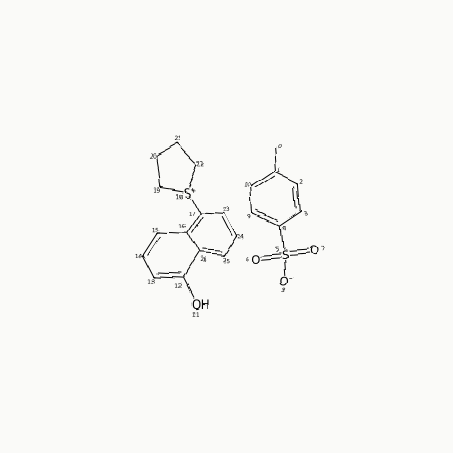 Cc1ccc(S(=O)(=O)[O-])cc1.Oc1cccc2c([S+]3CCCC3)cccc12